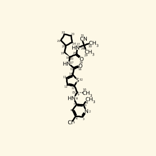 Cc1ncc(Cl)cc1N[C@@H](C)c1ccc(C(=O)N[C@@H](CC2CCCC2)C(=O)NC(C)(C)C#N)s1